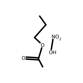 CCCOC(C)=O.O=[N+]([O-])O